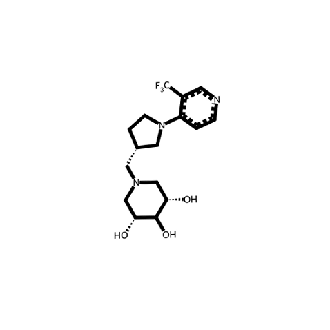 OC1[C@H](O)CN(C[C@@H]2CCN(c3ccncc3C(F)(F)F)C2)C[C@@H]1O